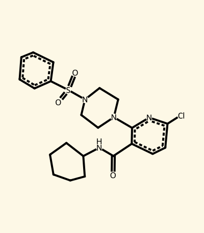 O=C(NC1CCCCC1)c1ccc(Cl)nc1N1CCN(S(=O)(=O)c2ccccc2)CC1